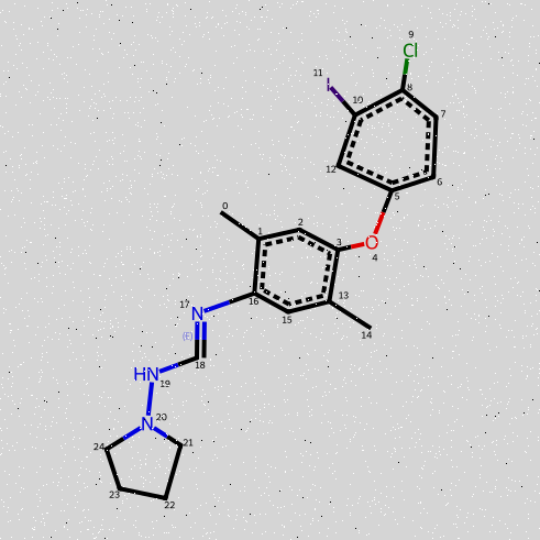 Cc1cc(Oc2ccc(Cl)c(I)c2)c(C)cc1/N=C/NN1CCCC1